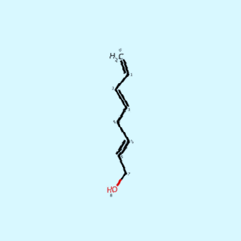 C=CC=CCC=CCO